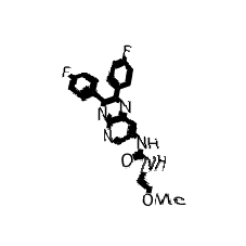 COCCNC(=O)Nc1cnc2nc(-c3ccc(F)cc3)c(-c3ccc(F)cc3)nc2c1